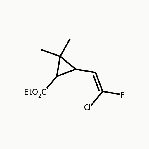 CCOC(=O)C1C(C=C(F)Cl)C1(C)C